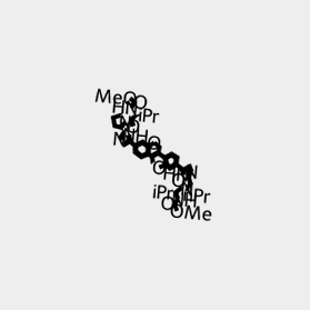 CCCN(Cc1ncc(-c2ccc3c(c2)OCC2=C3COc3cc(-c4cnc([C@@H]5CCCN5C(=O)[C@@H](NC(=O)OC)C(C)C)[nH]4)ccc32)[nH]1)C(=O)[C@@H](NC(=O)OC)C(C)C